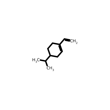 C=CC1=CCC(C(C)C)CC1